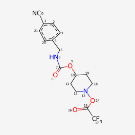 N#Cc1ccc(CNC(=O)OC2CCN(OC(=O)C(F)(F)F)CC2)cc1